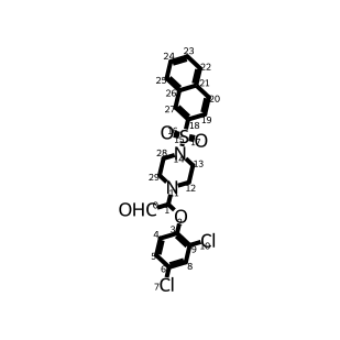 O=CC(Oc1ccc(Cl)cc1Cl)N1CCN(S(=O)(=O)c2ccc3ccccc3c2)CC1